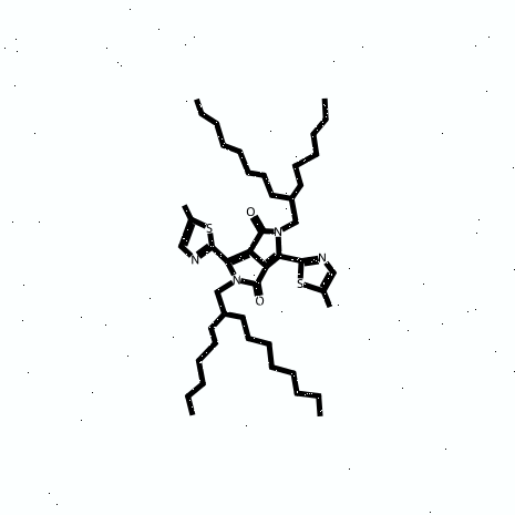 CCCCCCCCC(CCCCCC)CN1C(=O)C2=C(c3ncc(C)s3)N(CC(CCCCCC)CCCCCCCC)C(=O)C2=C1c1ncc(C)s1